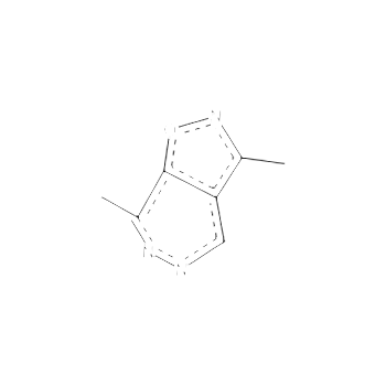 Cc1noc2c(C)nncc12